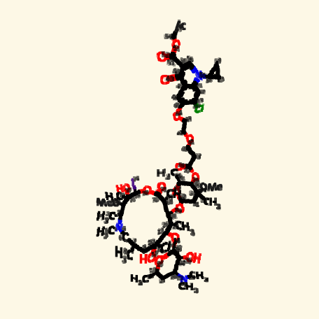 CO[C@@H]1[C@@H](C)N(C)C[C@H](C)C[C@@](C)(O)[C@H](O[C@@H]2O[C@H](C)C[C@H](N(C)C)[C@@H]2O)[C@@H](C)[C@H](OC2CC(C)(OC)[C@H](OC(=O)CCOCCOc3cc4c(=O)c(C(=O)OCC(C)=O)cn(C5CC5)c4cc3Cl)[C@H](C)O2)[C@@H](C)C(=O)O[C@H](I)[C@@]1(C)O